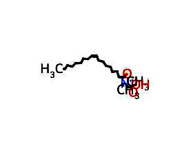 CCCCCCCC/C=C\CCCCCCCC(=O)[N+](C)(CC)CC(=O)O